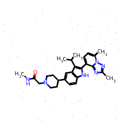 CNC(=O)CN1CCC(c2ccc3[nH]c(-c4ccc(C)n5nc(C)nc45)c(C(C)C)c3c2)CC1